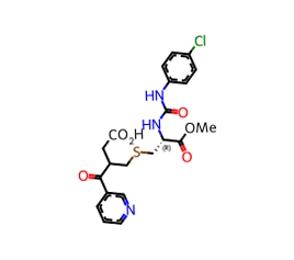 COC(=O)[C@H](CSCC(CC(=O)O)C(=O)c1cccnc1)NC(=O)Nc1ccc(Cl)cc1